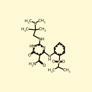 CC(C)S(=O)(=O)c1ccccc1Nc1nc(NCC(C)(C)N(C)C)[nH]c(=O)c1C(N)=O